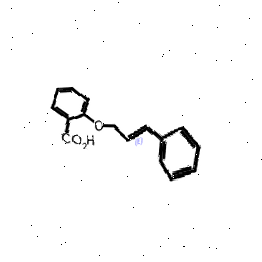 O=C(O)c1ccccc1OC/C=C/c1ccccc1